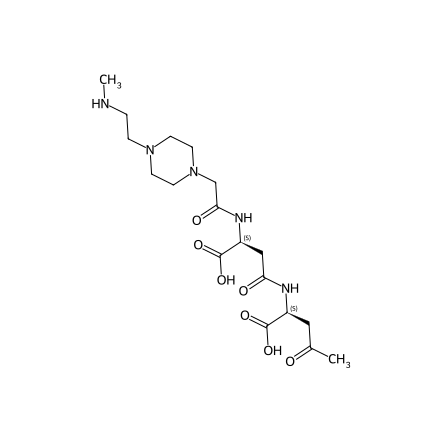 CNCCN1CCN(CC(=O)N[C@@H](CC(=O)N[C@@H](CC(C)=O)C(=O)O)C(=O)O)CC1